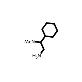 CNC(CN)C1CCCCC1